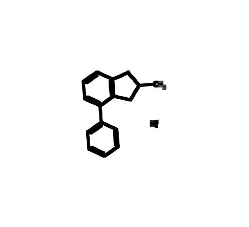 CC1[CH]c2cccc(-c3ccccc3)c2C1.[Hf]